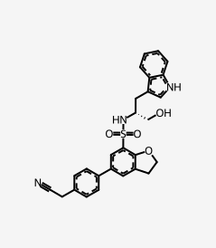 N#CCc1ccc(-c2cc3c(c(S(=O)(=O)N[C@@H](CO)Cc4c[nH]c5ccccc45)c2)OCC3)cc1